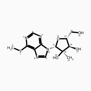 CSc1ncnc2c1ncn2[C@@H]1O[C@H](CO)[C@@H](O)[C@@]1(C)O